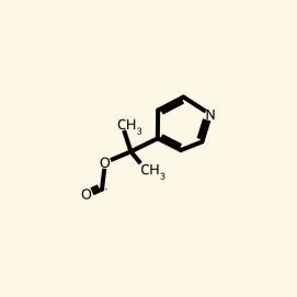 CC(C)(O[C]=O)c1ccncc1